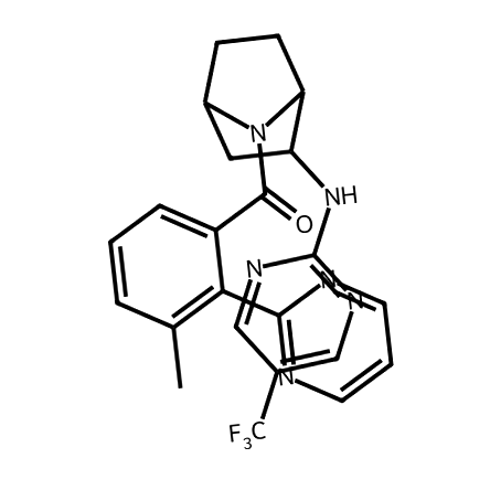 Cc1cccc(C(=O)N2C3CCC2C(Nc2ncc(C(F)(F)F)cn2)C3)c1-c1ncccn1